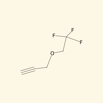 C#CCOCC(F)(F)F